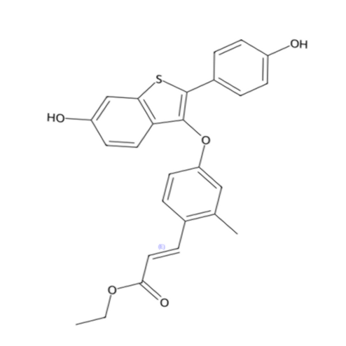 CCOC(=O)/C=C/c1ccc(Oc2c(-c3ccc(O)cc3)sc3cc(O)ccc23)cc1C